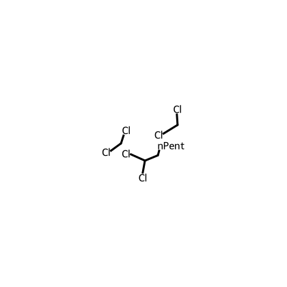 CCCCCCC(Cl)Cl.ClCCl.ClCCl